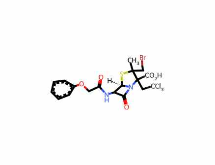 CC1(CBr)S[C@@H]2C(NC(=O)COc3ccccc3)C(=O)N2C1(CC(Cl)(Cl)Cl)C(=O)O